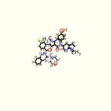 Cn1c(-c2cc(F)ccc2C(=O)N2Cc3ccccc3C[C@H]2CN2CCOCC2)cc(C(=O)N(c2ccc(O)cc2)c2cnc3c(ccn3C)c2)c1CC(F)F